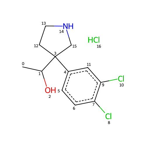 CC(O)C1(c2ccc(Cl)c(Cl)c2)CCNC1.Cl